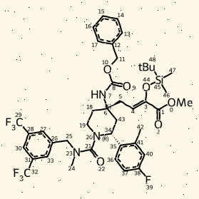 COC(=O)C(=CC[C@]1(NC(=O)OCc2ccccc2)CCN(C(=O)N(C)Cc2cc(C(F)(F)F)cc(C(F)(F)F)c2)[C@@H](c2ccc(F)cc2C)C1)O[Si](C)(C)C(C)(C)C